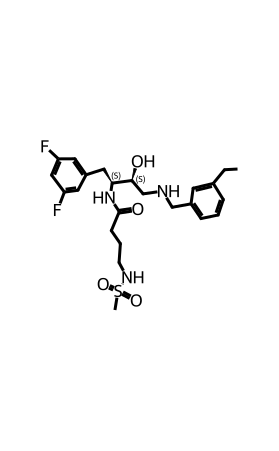 CCc1cccc(CNC[C@H](O)[C@H](Cc2cc(F)cc(F)c2)NC(=O)CCCNS(C)(=O)=O)c1